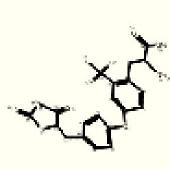 NC(Cc1ccc(Oc2ccc(CC3SC(=O)NC3=O)cc2)cc1C(F)(F)F)C(=O)O